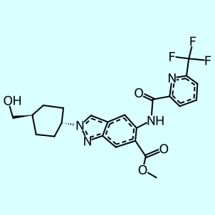 COC(=O)c1cc2nn([C@H]3CC[C@H](CO)CC3)cc2cc1NC(=O)c1cccc(C(F)(F)F)n1